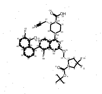 CC(C)(C)OC(=O)N1CC(F)(F)C[C@H]1COc1nc(N2CCN(C(=O)O)[C@@H](CC#N)C2)c2cnc(-c3cccc4ccc(F)c(Cl)c34)c(F)c2n1